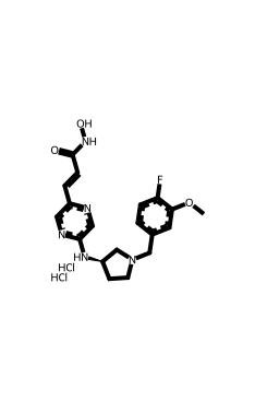 COc1cc(CN2CC[C@@H](Nc3cnc(C=CC(=O)NO)cn3)C2)ccc1F.Cl.Cl